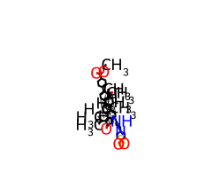 CCOC(=O)C1CC=C(C2=CC[C@]3(C)[C@H]4CC[C@@H]5C6=C(C(C)C)C(=O)C[C@]6(NCCN6CCS(=O)(=O)CC6)CC[C@@]5(C)[C@]4(C)CC[C@H]3C2(C)C)CC1